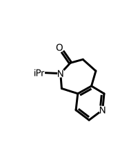 CC(C)N1Cc2ccncc2CCC1=O